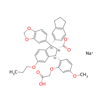 CCCOc1ccc2c(c1)[C@@H](c1ccc(OC)cc1OCC(=O)O)[C@@H](C(=O)[O-])[C@]2(c1ccc2c(c1)CCC2)c1ccc2c(c1)OCO2.[Na+]